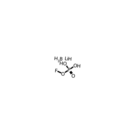 B.O=P(O)(O)OF.[LiH]